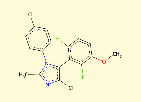 COc1ccc(F)c(-c2c(Cl)nc(C)n2-c2ccc(Cl)cc2)c1F